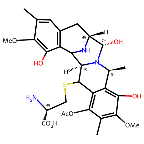 COc1c(C)cc2c(c1O)C1N[C@H](C2)[C@H](O)N2[C@H]1C(SC[C@H](N)C(=O)O)c1c(OC(C)=O)c(C)c(OC)c(O)c1[C@@H]2C